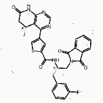 C[C@@H]1CC(=O)Nc2ncnc(-c3csc(C(=O)N[C@@H](Cc4cccc(F)c4)CN4C(=O)c5ccccc5C4=O)c3)c21